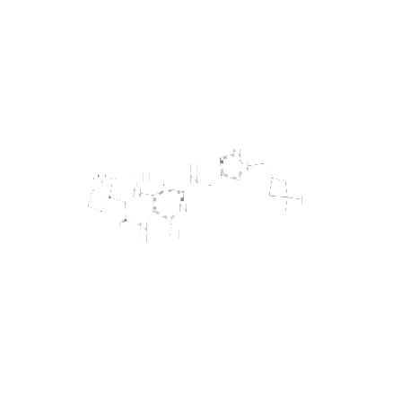 COC1(C2C(=O)Nc3c(C)nc(NCc4cnn(CC5CC(F)(F)C5)c4)nc3N2C)CCC1